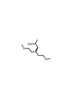 COCCC(=CC(C)O)CCOC